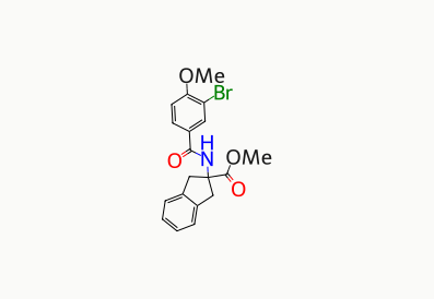 COC(=O)C1(NC(=O)c2ccc(OC)c(Br)c2)Cc2ccccc2C1